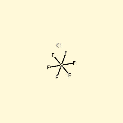 FS(F)(F)(F)(F)F.[C]